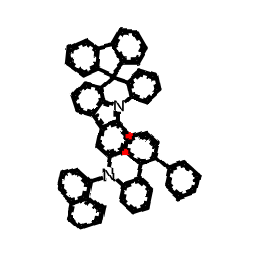 c1ccc(-c2ccccc2-c2ccccc2N(c2ccc3c(c2)c2cccc4c2n3-c2ccccc2C42c3ccccc3-c3ccccc32)c2cccc3ccccc23)cc1